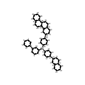 c1ccc(-c2cccc(N(c3ccc(-c4ccc5ccccc5c4)cc3)c3ccc(-c4ccc5ccc6c7ccccc7ccc6c5c4)cc3)c2)cc1